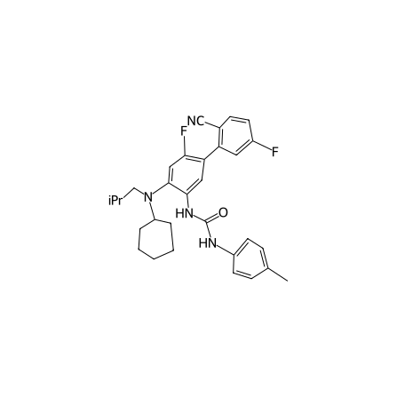 Cc1ccc(NC(=O)Nc2cc(-c3cc(F)ccc3C#N)c(F)cc2N(CC(C)C)C2CCCCC2)cc1